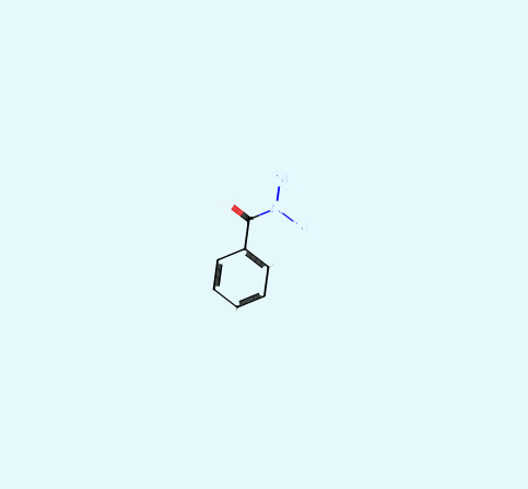 N[N+](N)C(=O)c1ccccc1